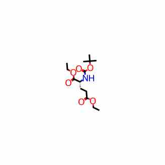 CCOC(=O)CC[C@@H](NC(=O)OC(C)(C)C)C(=O)OCC